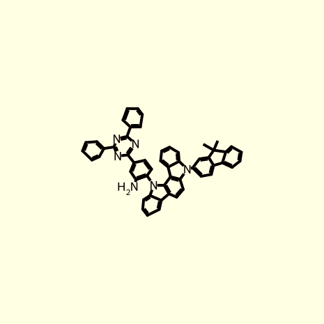 CC1(C)c2ccccc2-c2ccc(-n3c4ccccc4c4c3ccc3c5ccccc5n(-c5ccc(-c6nc(-c7ccccc7)nc(-c7ccccc7)n6)cc5N)c34)cc21